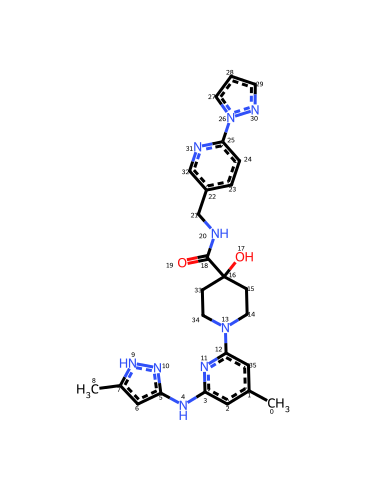 Cc1cc(Nc2cc(C)[nH]n2)nc(N2CCC(O)(C(=O)NCc3ccc(-n4cccn4)nc3)CC2)c1